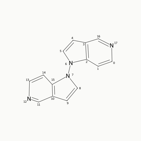 c1cc2c(ccn2-n2ccc3cnccc32)cn1